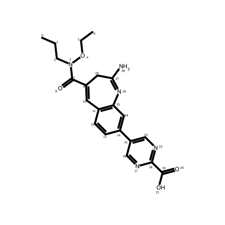 CCCN(OCC)C(=O)C1=Cc2ccc(-c3cnc(C(=O)O)nc3)cc2N=C(N)C1